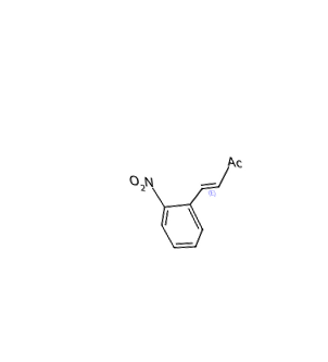 CC(=O)/C=C/c1ccccc1[N+](=O)[O-]